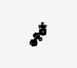 O=C1N(c2cccc(C(F)(F)F)c2)CCN1C1CN2CCC1CC2